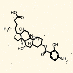 C[C@H](CCC(=O)O)[C@H]1CC[C@H]2[C@@H]3[C@H](O)CC4C[C@H](OC(=O)c5ccc(N)cc5O)CC[C@]4(C)[C@H]3CC[C@]12C